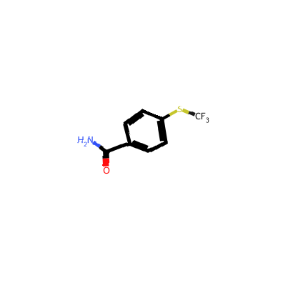 NC(=O)c1ccc(SC(F)(F)F)cc1